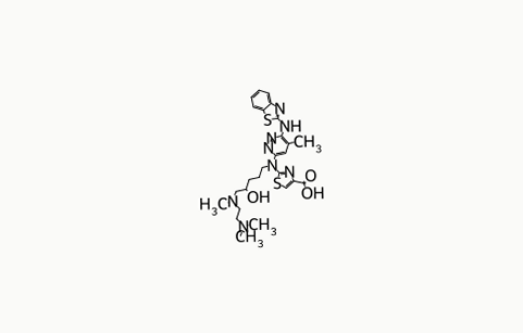 Cc1cc(N(CCCC(O)CN(C)CCN(C)C)c2nc(C(=O)O)cs2)nnc1Nc1nc2ccccc2s1